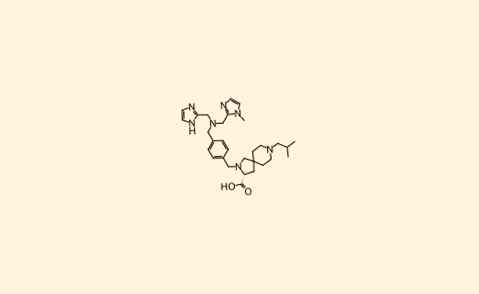 CC(C)CN1CCC2(CC1)C[C@H](C(=O)O)N(Cc1ccc(CN(Cc3ncc[nH]3)Cc3nccn3C)cc1)C2